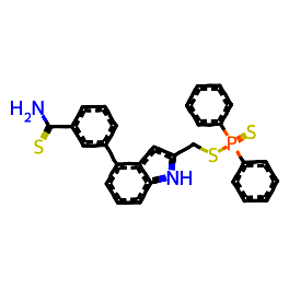 NC(=S)c1cccc(-c2cccc3[nH]c(CSP(=S)(c4ccccc4)c4ccccc4)cc23)c1